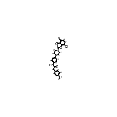 COc1ccc(CC(=O)Nc2ccc(N3CCN(C(=O)Oc4c(Cl)ccc(C)c4Cl)CC3)cc2)cc1